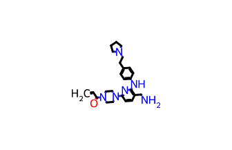 C=CC(=O)N1CCN(c2ccc(CN)c(Nc3ccc(CCN4CCCC4)cc3)n2)CC1